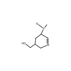 C[S+]([O-])C1C=NCC(CO)C1